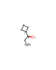 CCCCC(=O)C1CCC1